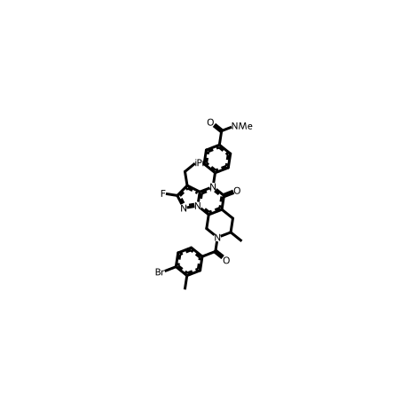 CNC(=O)c1ccc(-n2c(=O)c3c(n4nc(F)c(CC(C)C)c24)CN(C(=O)c2ccc(Br)c(C)c2)C(C)C3)cc1